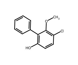 COc1c(Cl)ccc(O)c1-c1ccccc1